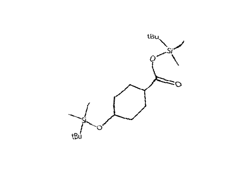 CC(C)(C)[Si](C)(C)OC(=O)C1CCC(O[Si](C)(C)C(C)(C)C)CC1